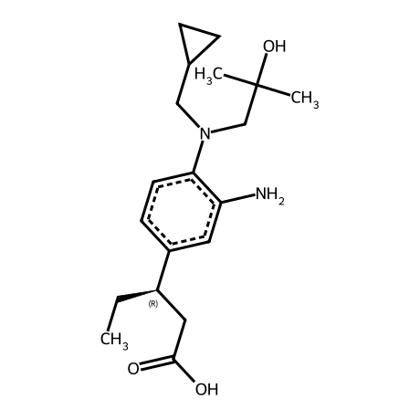 CC[C@H](CC(=O)O)c1ccc(N(CC2CC2)CC(C)(C)O)c(N)c1